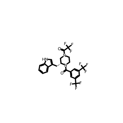 O=C(c1cc(C(F)(F)F)cc(C(F)(F)F)c1)N1CCN(C(=O)C(F)(F)F)C[C@H]1Cc1c[nH]c2ccccc12